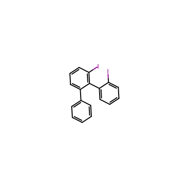 Ic1ccccc1-c1c(I)cccc1-c1ccccc1